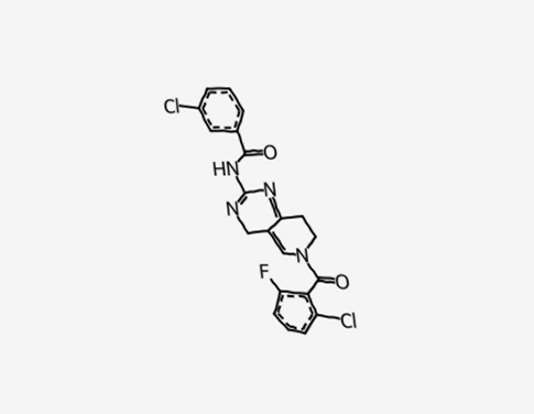 O=C(NC1=NCC2=CN(C(=O)c3c(F)cccc3Cl)CCC2=N1)c1cccc(Cl)c1